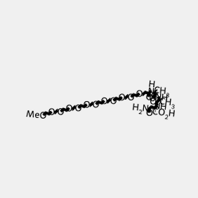 COCCOCCOCCOCCOCCOCCOCCOCCOCCOCCOCCOCCC(=O)N[C@@H](C)C(=O)N[C@H](C)C(=O)N[C@@H](CC(N)=O)C(=O)O